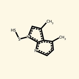 Cc1ccnc2c1c(C)cn2SS